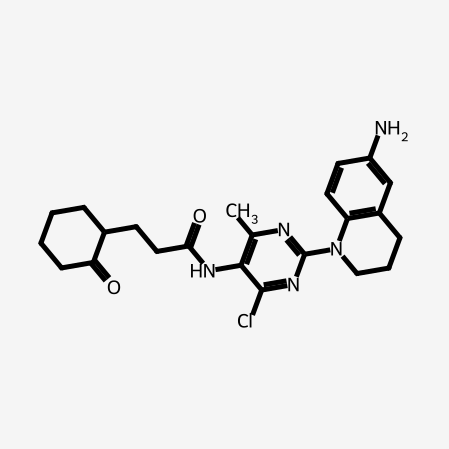 Cc1nc(N2CCCc3cc(N)ccc32)nc(Cl)c1NC(=O)CCC1CCCCC1=O